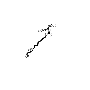 CCCCCCCCC(CCCCCCCC)OC(=O)OCCCCCCCNCCO